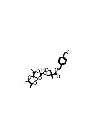 CC(=O)[C@@H](C)OC(=O)[C@@H](C)OC(=O)OCC(C)(CO)C(=O)OCc1ccc(CCl)cc1